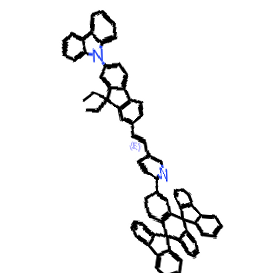 CCC1(CC)c2cc(/C=C/c3ccc(C4=CC5=C(CC4)C4(c6ccccc6-c6ccccc64)c4ccccc4C54C5=C(CCC=C5)c5ccccc54)nc3)ccc2-c2ccc(-n3c4ccccc4c4ccccc43)cc21